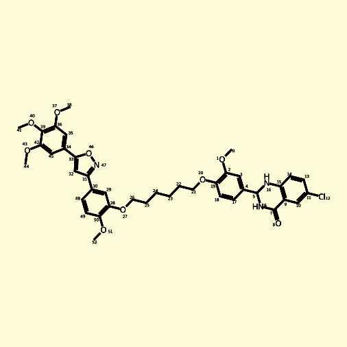 COc1cc(C2NC(=O)c3cc(Cl)ccc3N2)ccc1OCCCCCCOc1cc(-c2cc(-c3cc(OC)c(OC)c(OC)c3)on2)ccc1OC